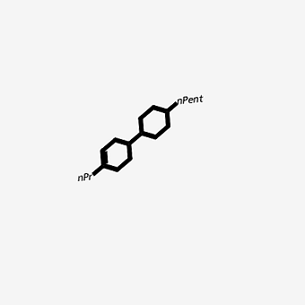 CCCCCC1CCC(C2CC=C(CCC)CC2)CC1